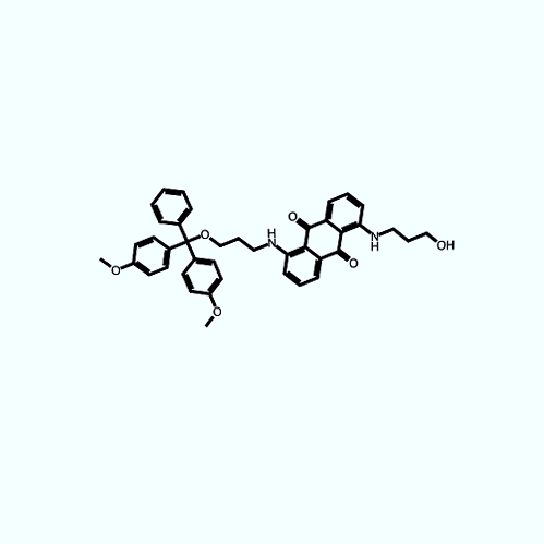 COc1ccc(C(OCCCNc2cccc3c2C(=O)c2cccc(NCCCO)c2C3=O)(c2ccccc2)c2ccc(OC)cc2)cc1